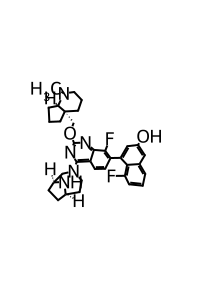 CN1CCC[C@@]2(COc3nc(N4CC[C@H]5CC[C@@H](C4)N5)c4ccc(-c5cc(O)cc6cccc(F)c56)c(F)c4n3)CCC[C@@H]12